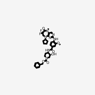 COc1cc(C(=O)N[C@@H]2CCN(C(=O)OCc3ccccc3)C[C@H]2O)ccc1Nc1ncc2c(n1)N(C1CCCC1)CC(F)(F)C(=O)N2C